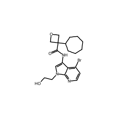 O=C(Nc1cn(CCO)c2nccc(Br)c12)C1(C2CCCCCC2)COC1